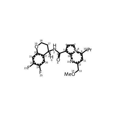 [2H]C1(NC(=O)c2ccn3c(C(C)C)cc(COC)nc23)CCOc2cc(F)c(F)cc21